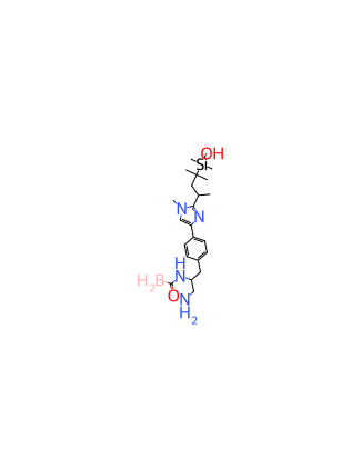 BC(=O)NC(CN)Cc1ccc(-c2cn(C)c(C(C)CC(C)(C)[Si](C)(C)O)n2)cc1